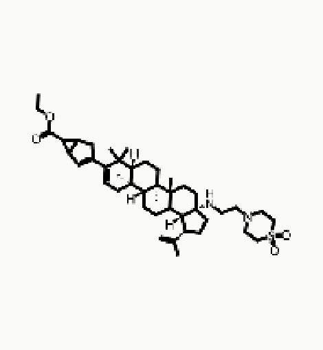 C=C(C)[C@@H]1CC[C@]2(NCCN3CCS(=O)(=O)CC3)CC[C@]3(C)C(CC[C@@H]4[C@@]5(C)CC=C(C6=CC7C(C6)C7C(=O)OCC)C(C)(C)[C@@H]5CC[C@]43C)[C@@H]12